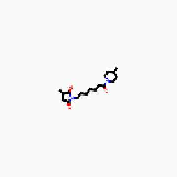 CC1CCN(C(=O)CCCCCCN2C(=O)CC(C)C2=O)CC1